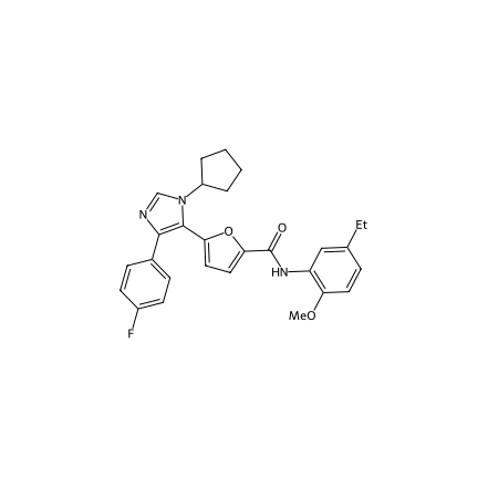 CCc1ccc(OC)c(NC(=O)c2ccc(-c3c(-c4ccc(F)cc4)ncn3C3CCCC3)o2)c1